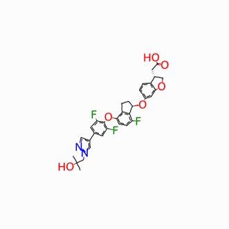 CC(C)(O)Cn1cc(-c2cc(F)c(Oc3ccc(F)c4c3CC[C@H]4Oc3ccc4c(c3)OC[C@H]4CC(=O)O)c(F)c2)cn1